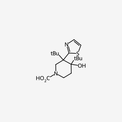 CC(C)(C)C1(O)CCN(C(=O)O)CC1(c1nccs1)C(C)(C)C